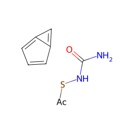 CC(=O)SNC(N)=O.c1cc2cc-2c1